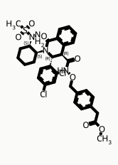 COC(=O)Cc1ccc(CONC(=O)[C@@H]2c3ccccc3C(=O)N([C@H]3CCCC[C@@H]3N(N)S(C)(=O)=O)[C@H]2c2ccc(Cl)cc2Cl)cc1